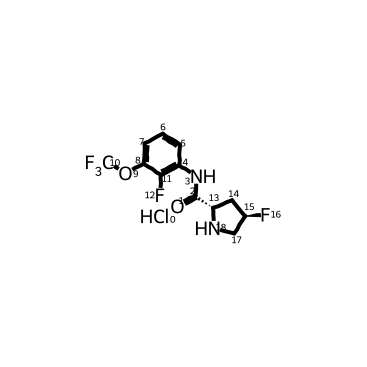 Cl.O=C(Nc1cccc(OC(F)(F)F)c1F)[C@@H]1C[C@@H](F)CN1